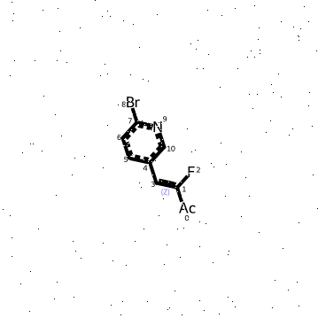 CC(=O)/C(F)=C/c1ccc(Br)nc1